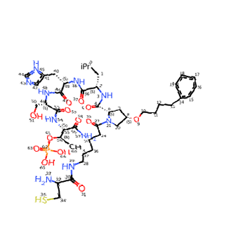 CC(C)C[C@H](NC(=O)[C@@H]1C[C@H](OCCCCc2ccccc2)CN1C(=O)CCCCCNC(=O)C(N)CS)C(=O)N[C@@H](Cc1cnc[nH]1)C(=O)N[C@@H](CO)C(=O)N[C@H](C(N)=O)[C@@H](C)OP(=O)(O)O